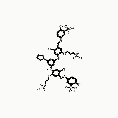 O=S(=O)(O)CCCOc1cc(N=Nc2ccc(Cl)c(S(=O)(=O)O)c2)c(Cl)cc1Nc1nc(Nc2cc(Cl)c(N=Nc3ccc(Cl)c(S(=O)(=O)O)c3)cc2OCCCS(=O)(=O)O)nc(N2CCCC2)n1